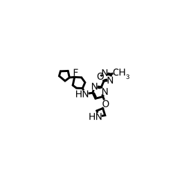 Cc1noc(-c2nc(NC3CCC(F)(C4CCCC4)CC3)cc(OC3CNC3)n2)n1